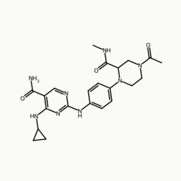 CNC(=O)C1CN(C(C)=O)CCN1c1ccc(Nc2ncc(C(N)=O)c(NC3CC3)n2)cc1